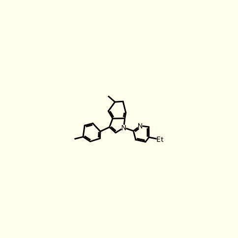 CCc1ccc(-n2cc(-c3ccc(C)cc3)c3c2=CCC(C)C=3)nc1